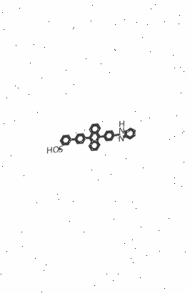 OSc1cccc(-c2ccc(-c3c4ccccc4c(-c4ccc(-c5nc6ccccc6[nH]5)cc4)c4ccccc34)cc2)c1